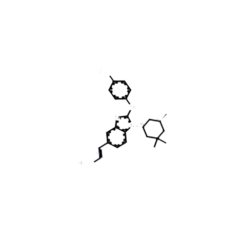 C[C@@H]1C[C@@H](n2c(Nc3ccc(C(F)(F)F)cc3)nc3cc(/C=C/C(=O)O)ccc32)CC(C)(C)C1